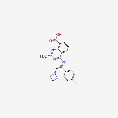 Cc1nc(N[C@H](CN2CCC2)c2ccc(F)cc2)c2cccc(C(=O)O)c2n1